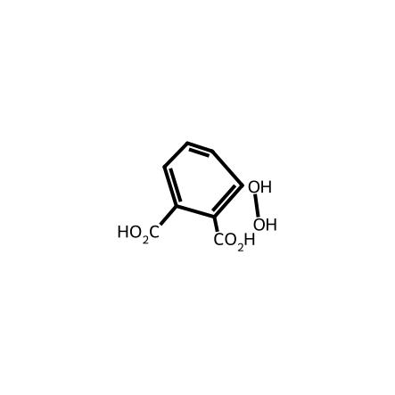 O=C(O)c1ccccc1C(=O)O.OO